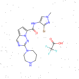 Cn1cc(NC(=O)c2ccc3cnc(N4CCCNCC4)nn23)c(Br)n1.O=C(O)C(F)(F)F